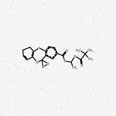 CC(OC(=O)c1ccc2c(c1)C1(OO1)OC1=C(CCC=C1)S2)OC(=O)C(C)(C)C